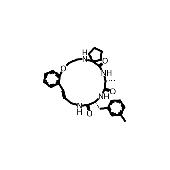 Cc1cccc(C[C@H]2NC(=O)[C@@H](C)NC(=O)C3(CCCC3)NCCOc3ccccc3/C=C/CNC2=O)c1